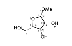 CO[C@H]1O[C@@H](CO)[C@@H](O)[C@H]1O